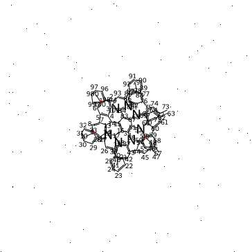 Cc1ccc2c(c1)-c1cc(C)ccc1C2c1c(-c2nc(-c3ccccc3)cc(-c3ccccc3)n2)c(-n2c3ccc(C)cc3c3cc(C)ccc32)c(-n2c3ccc(C)cc3c3cc(C)ccc32)c(-n2c3ccc(C)cc3c3cc(C)ccc32)c1-c1nc(-c2ccccc2)cc(-c2ccccc2)n1